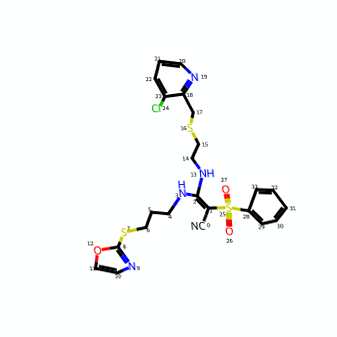 N#CC(=C(NCCCSc1ncco1)NCCSCc1ncccc1Cl)S(=O)(=O)c1ccccc1